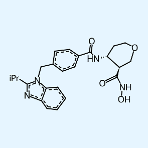 CC(C)c1nc2ccccc2n1Cc1ccc(C(=O)N[C@@H]2CCOC[C@H]2C(=O)NO)cc1